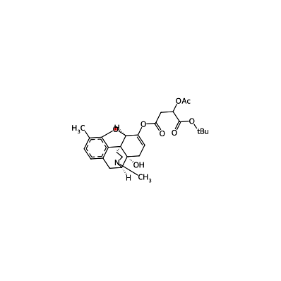 CC(=O)OC(CC(=O)OC1=CC[C@@]2(O)[C@H]3Cc4ccc(C)c5c4[C@@]2(CCN3C)[C@H]1O5)C(=O)OC(C)(C)C